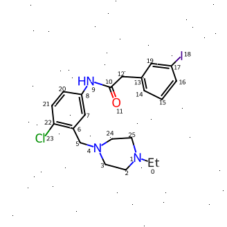 CCN1CCN(Cc2cc(NC(=O)Cc3cccc(I)c3)ccc2Cl)CC1